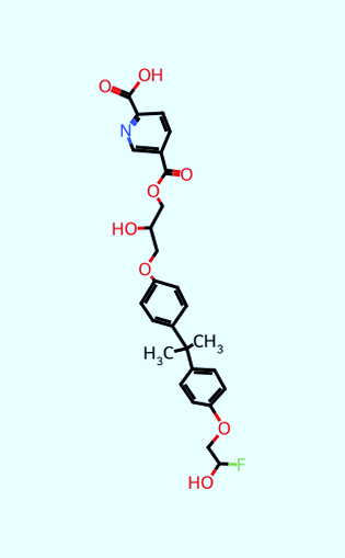 CC(C)(c1ccc(OCC(O)F)cc1)c1ccc(OCC(O)COC(=O)c2ccc(C(=O)O)nc2)cc1